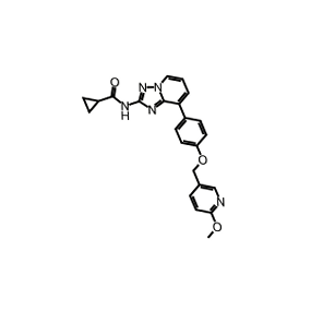 COc1ccc(COc2ccc(-c3cccn4nc(NC(=O)C5CC5)nc34)cc2)cn1